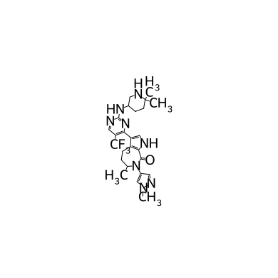 CC1CCc2c(-c3nc(NC4CCC(C)(C)NC4)ncc3C(F)(F)F)c[nH]c2C(=O)N1c1cnn(C)c1